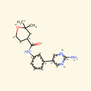 CC1(C)CC(C(=O)Nc2cccc(-c3cnc(N)nc3)c2)CCO1